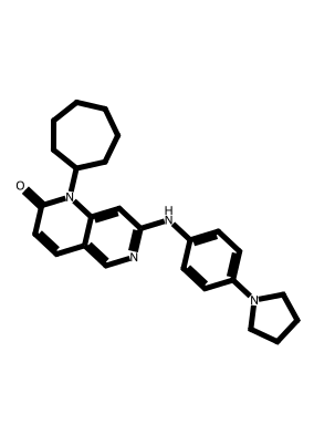 O=c1ccc2cnc(Nc3ccc(N4CCCC4)cc3)cc2n1C1CCCCCC1